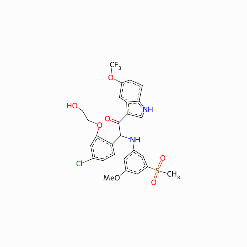 COc1cc(NC(C(=O)c2c[nH]c3ccc(OC(F)(F)F)cc23)c2ccc(Cl)cc2OCCO)cc(S(C)(=O)=O)c1